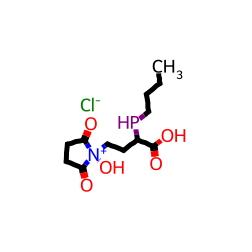 CCCCPC(CC[N+]1(O)C(=O)CCC1=O)C(=O)O.[Cl-]